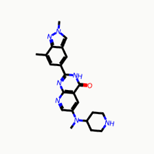 Cc1cc(-c2nc3ncc(N(C)C4CCNCC4)cc3c(=O)[nH]2)cc2cn(C)nc12